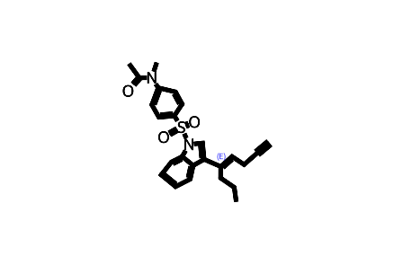 C#CC/C=C(\CCC)c1cn(S(=O)(=O)c2ccc(N(C)C(C)=O)cc2)c2ccccc12